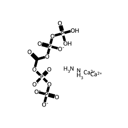 N.N.O=C(OP(=O)([O-])OP(=O)([O-])[O-])OP(=O)([O-])OP(=O)(O)O.[Ca+2].[Ca+2]